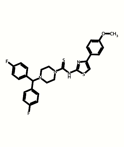 COc1ccc(-c2csc(NC(=S)N3CCN(C(c4ccc(F)cc4)c4ccc(F)cc4)CC3)n2)cc1